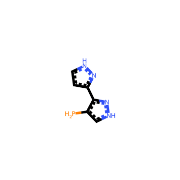 Pc1c[nH]nc1-c1cc[nH]n1